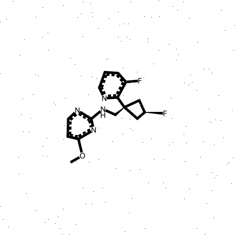 COc1ccnc(NC[C@]2(c3ncccc3F)C[C@H](F)C2)n1